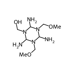 COCN1C(N)N(CO)C(N)N(COC)C1N